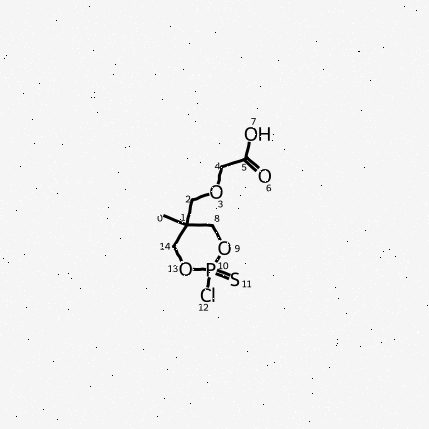 CC1(COCC(=O)O)COP(=S)(Cl)OC1